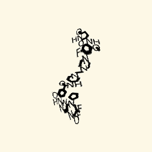 COc1cc(C(=O)NC2CCN(CCN3CCN(c4cc(OC)c(NC5CCC(=O)NC5=O)cc4F)CC3)CC2)ccc1Nc1ncc2c(n1)N(C1CCCC1)CC(F)(F)C(=O)N2C